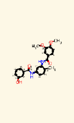 COc1ccc(C(=O)Nc2cc(NC(=O)c3cccc(O)c3)ccc2C)cc1OC